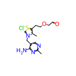 Cc1ncc(C[n+]2csc(CCOCC=O)c2C)c(N)n1.[Cl-]